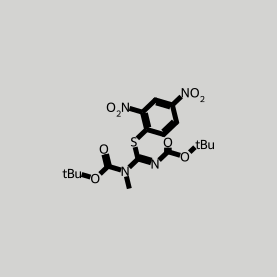 CN(C(=O)OC(C)(C)C)/C(=N/C(=O)OC(C)(C)C)Sc1ccc([N+](=O)[O-])cc1[N+](=O)[O-]